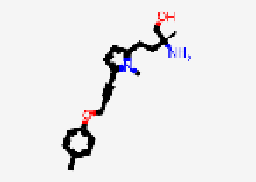 Cc1ccc(OCC#Cc2ccc(CC[C@@](C)(N)CO)n2C)cc1